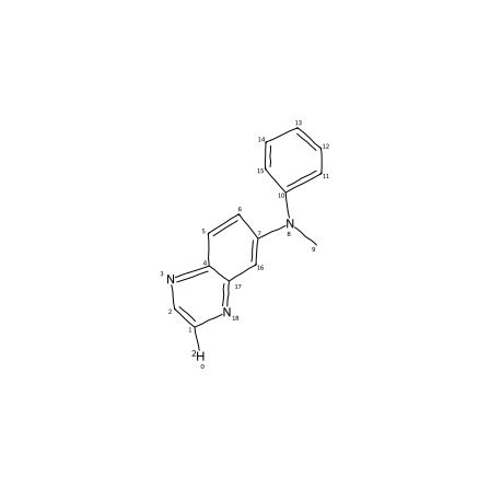 [2H]c1cnc2ccc(N(C)c3ccccc3)cc2n1